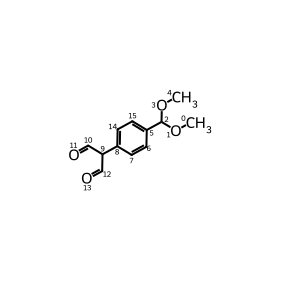 COC(OC)c1ccc(C(C=O)C=O)cc1